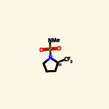 CNS(=O)(=O)N1CCC[C@@H]1C(F)(F)F